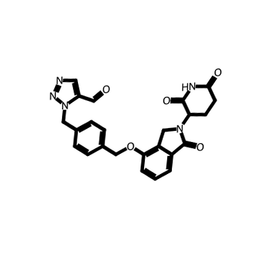 O=Cc1cnnn1Cc1ccc(COc2cccc3c2CN(C2CCC(=O)NC2=O)C3=O)cc1